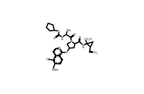 C=CC1CC1(NC(=O)C1CC(Oc2nccc3c(Cl)c(OC)ccc23)CN1C(=O)C(NC(=O)OC1CCCC1)C(C)(C)C)C(=O)O